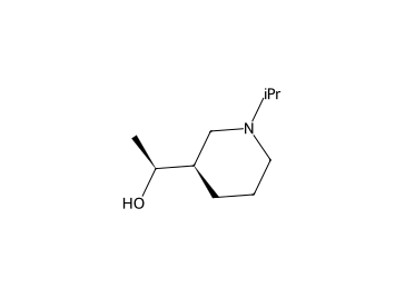 CC(C)N1CCC[C@@H]([C@H](C)O)C1